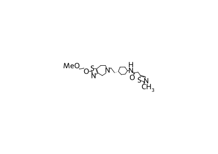 COCCOc1nc2c(s1)CCN(CC[C@H]1CC[C@H](NC(=O)Cc3cnc(C)s3)CC1)CC2